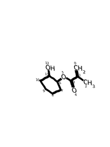 C=C(C)C(=O)OC1CCCCC1O